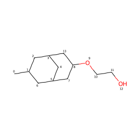 CC1CC2CC(C1)CC(OCCO)C2